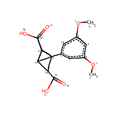 COc1cc(OC)cc(C23C(C(=O)O)C2C3C(=O)O)c1